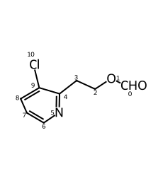 O=COCCc1ncccc1Cl